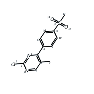 Cc1cnc(Cl)nc1-c1ccc(S(C)(=O)=O)cc1